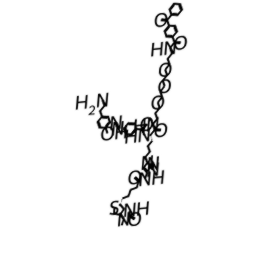 CN1C(=O)NC2C1CS[C@@H]2CCCCC(=O)Nc1cn(CCCC[C@H](NC(=O)c2ccc(/N=N/c3cc(CCN)ccc3O)cc2)C(=O)NCCCOCCOCCOCCCNC(=O)c2ccc(C(=O)c3ccccc3)cc2)nn1